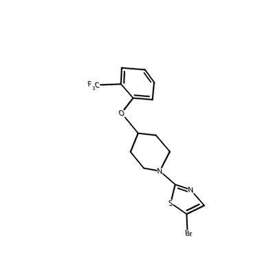 FC(F)(F)c1ccccc1OC1CCN(c2ncc(Br)s2)CC1